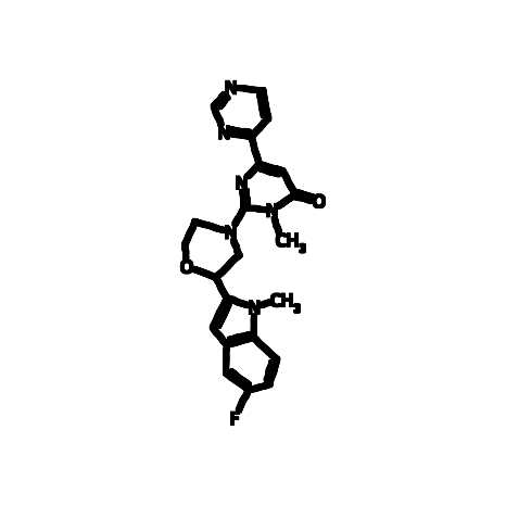 Cn1c(N2CCOC(c3cc4cc(F)ccc4n3C)C2)nc(-c2ccncn2)cc1=O